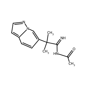 CC(=O)NC(=N)C(C)(C)c1ccc2ccnn2c1